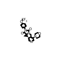 O=C1N(c2ccc(OC(F)(F)F)cc2)C(=O)C2(CC2)N1Cc1ccncc1N1CCOCC1